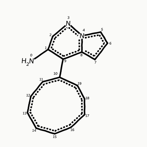 Nc1cnn2cccc2c1-c1ccccccccc1